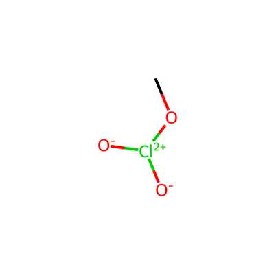 CO[Cl+2]([O-])[O-]